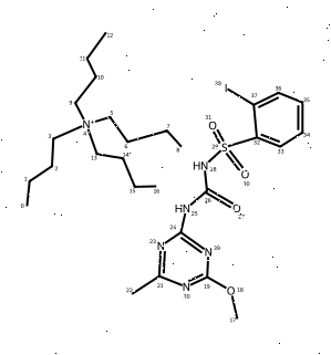 CCCC[N+](CCCC)(CCCC)CCCC.COc1nc(C)nc(NC(=O)NS(=O)(=O)c2ccccc2I)n1